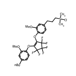 CCCCc1ccc(OC2=C(Oc3ccc(CCC[Si](C)(C)Cl)cc3OC)C(F)(F)C(F)(F)C2(F)F)c(OC)c1